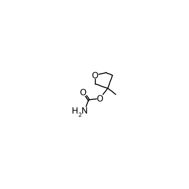 CC1(OC(N)=O)CCOC1